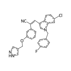 N#CC(=Cc1cn(Cc2ccc(F)cc2)c2cc(Cl)ccc12)c1cccc(OCc2cn[nH]c2)c1